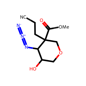 COC(=O)C1(CCC#N)COCC(O)C1N=[N+]=[N-]